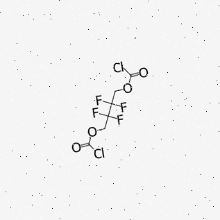 O=C(Cl)OCC(F)(F)C(F)(F)COC(=O)Cl